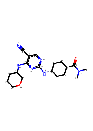 CN(C)C(=O)[C@H]1CC[C@H](Nc2ncc(C#N)c(NC3CCCOC3)n2)CC1